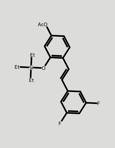 CC[Si](CC)(CC)Oc1cc(OC(C)=O)ccc1/C=C/c1cc(F)cc(F)c1